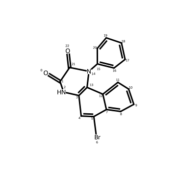 O=c1[nH]c2cc(Br)c3ccccc3c2n(-c2ccccc2)c1=O